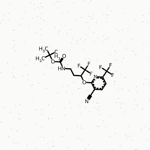 CC(C)(C)OC(=O)NCCC(Oc1nc(C(F)(F)F)ccc1C#N)C(F)(F)F